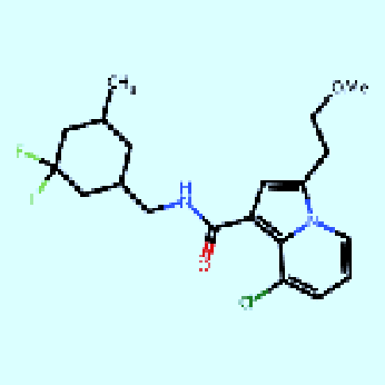 COCCc1cc(C(=O)NCC2CC(C)CC(F)(F)C2)c2c(Cl)cccn12